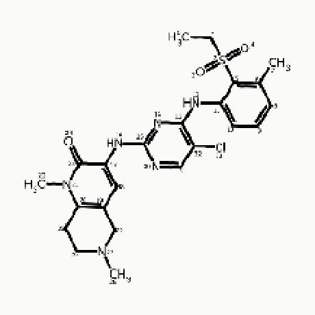 CCS(=O)(=O)c1c(C)cccc1Nc1nc(Nc2cc3c(n(C)c2=O)CCN(C)C3)ncc1Cl